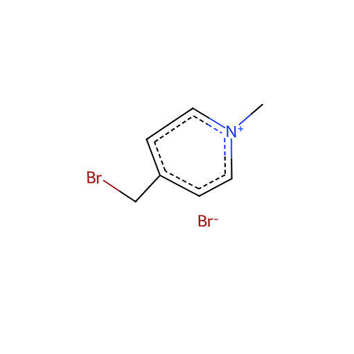 C[n+]1ccc(CBr)cc1.[Br-]